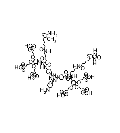 CC1C(N)CSC1CCCCC(=O)NCCCCC(NC(=O)c1cc(OCCCS(=O)(=O)O)c(OCCCS(=O)(=O)O)c(OCCCS(=O)(=O)O)c1)C(=O)NC1CCN(c2nc(N3CCC(N)CC3)nc(N3CCC(NC(=O)C(CCCCNC(=O)CCCCC4SCC5NC(=O)NC54)NC(=O)c4cc(OCCCS(=O)(=O)O)c(OCCCS(=O)(=O)O)c(OCCCS(=O)(=O)O)c4)CC3)n2)CC1